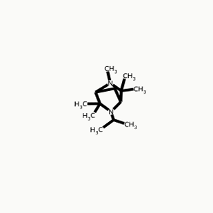 CC(C)N1C2CC(N(C)C2(C)C)C1(C)C